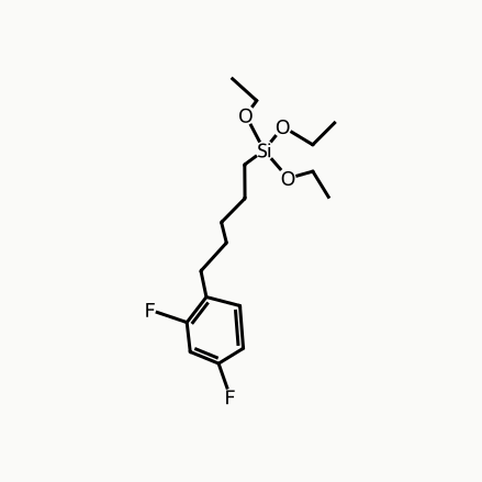 CCO[Si](CCCCCc1ccc(F)cc1F)(OCC)OCC